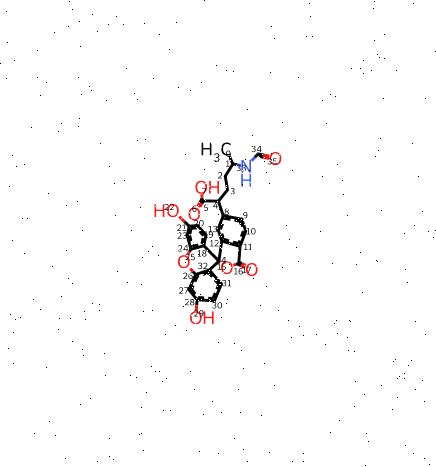 CC(CCC(C(=O)O)c1ccc2c(c1)C1(OC2=O)c2ccc(O)cc2Oc2cc(O)ccc21)NC=O